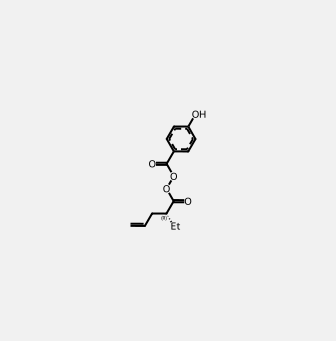 C=CC[C@@H](CC)C(=O)OOC(=O)c1ccc(O)cc1